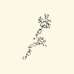 CC[C@@]1(OC(O)COc2ccc(C(=O)O[C@H]3c4cc5c(cc4[C@@H](c4cc(OC)c(OC)c(OC)c4)[C@H]4C(=O)OC[C@@H]43)OCO5)cc2)C(=O)OCc2c1cc1n(c2=O)Cc2cc3cc(OC(=O)N4CCC(N5CCCCC5)CC4)ccc3nc2-1